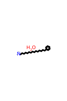 CN(C)CCCCCCCCCCCCCCCc1ccccc1.O